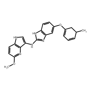 COc1ccc2[nH]cc(Nc3nc4cc(OC5=CC=CC(C)C5)ccc4[nH]3)c2n1